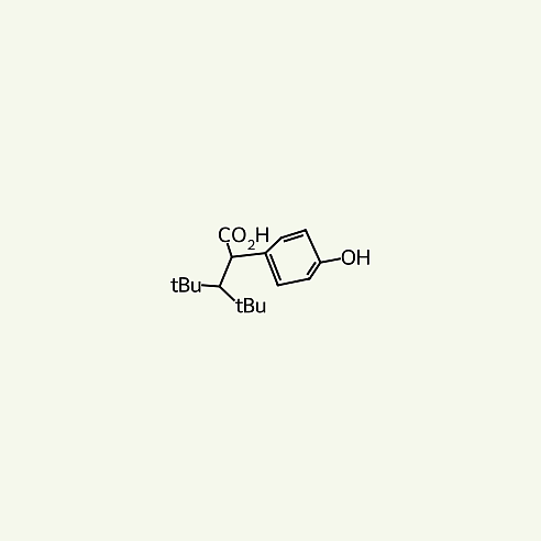 CC(C)(C)C(C(C(=O)O)c1ccc(O)cc1)C(C)(C)C